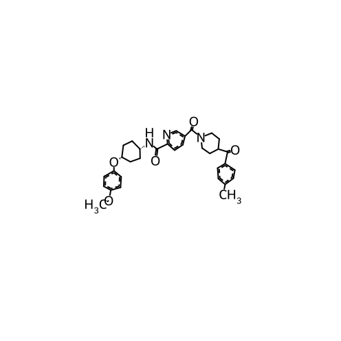 COc1ccc(O[C@H]2CC[C@@H](NC(=O)c3ccc(C(=O)N4CCC(C(=O)c5ccc(C)cc5)CC4)cn3)CC2)cc1